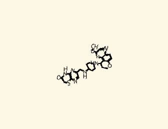 COc1cnc2ccc3c(c2n1)C(NC1CCC(NCc2cnc4c(n2)NC(=O)CS4)CC1)CCO3